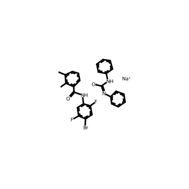 Cc1cccc(C(=O)Nc2cc(F)c(Br)cc2F)c1C.[Na+].[O-]/C(=N/c1ccccc1)Nc1ccccc1